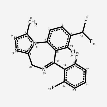 Cc1nnc2n1-c1ccc(C(F)F)c(Cl)c1C(c1c(F)cccc1F)=NC2